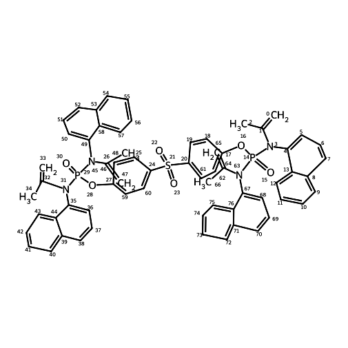 C=C(C)N(c1cccc2ccccc12)P(=O)(Oc1ccc(S(=O)(=O)c2ccc(OP(=O)(N(C(=C)C)c3cccc4ccccc34)N(C(=C)C)c3cccc4ccccc34)cc2)cc1)N(C(=C)C)c1cccc2ccccc12